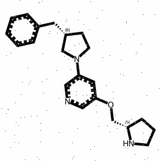 c1ccc(C[C@@H]2CCN(c3cncc(OC[C@@H]4CCCN4)c3)C2)cc1